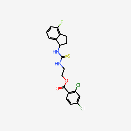 O=C(OCCNC(=S)NC1CCc2c(F)cccc21)c1ccc(Cl)cc1Cl